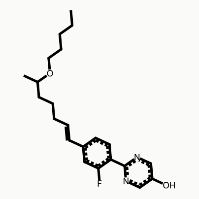 CCCCCOC(C)CCCC=Cc1ccc(-c2ncc(O)cn2)c(F)c1